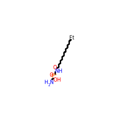 CCC=CCC=CCC=CCCCCCCCC(=O)NCC/[P+]([O-])=C(\O)CN